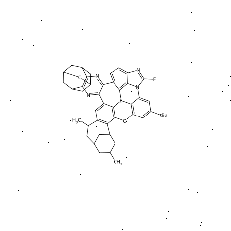 CC1CC2CC(C)c3cc4c5c(c3C(C1)C2)Oc1cc(C(C)(C)C)cc2c1B5c1c(ccc3nc(F)n-2c13)-c1nc2c(nc1-4)C1CC3CC(C1)CC2C3